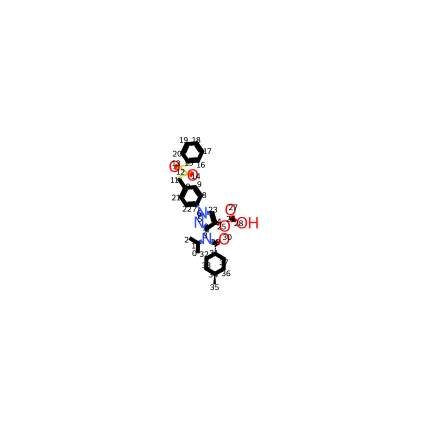 CC(C)N(c1nn(-c2ccc(CS(=O)(=O)c3ccccc3)cc2)cc1OC(=O)O)C(=O)[C@H]1CC[C@H](C)CC1